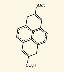 CCCCCCCCC1=Cc2ccc3c4c(ccc(c24)C1)C=C(C(=O)O)C3